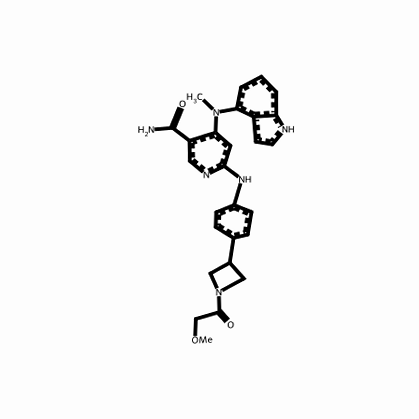 COCC(=O)N1CC(c2ccc(Nc3cc(N(C)c4cccc5[nH]ccc45)c(C(N)=O)cn3)cc2)C1